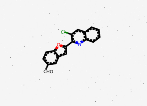 O=Cc1ccc2oc(-c3nc4ccccc4cc3Cl)cc2c1